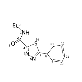 CCNC(=O)c1nnc(C2C=CC=CC2)s1